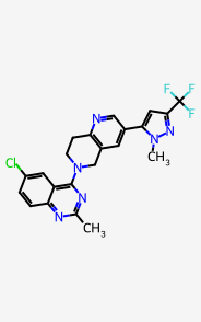 Cc1nc(N2CCc3ncc(-c4cc(C(F)(F)F)nn4C)cc3C2)c2cc(Cl)ccc2n1